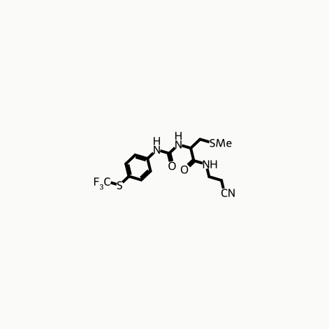 CSCC(NC(=O)Nc1ccc(SC(F)(F)F)cc1)C(=O)NCCC#N